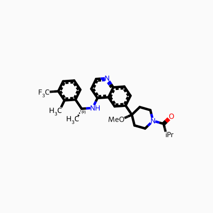 COC1(c2ccc3nccc(N[C@H](C)c4cccc(C(F)(F)F)c4C)c3c2)CCN(C(=O)C(C)C)CC1